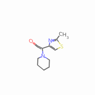 Cc1nc(C(=C=O)N2CCCCC2)cs1